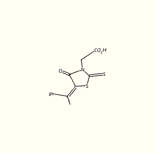 CC(=C1SC(=S)N(CC(=O)O)C1=O)C(C)C